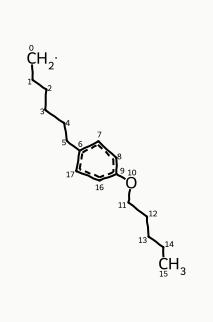 [CH2]CCCCCc1ccc(OCCCCC)cc1